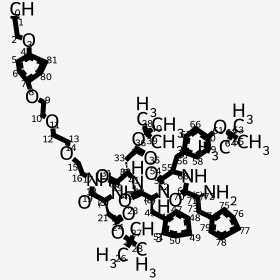 C#CCOc1ccc(OCCOCCOCCNC(=O)[C@H](CC(=O)OC(C)(C)C)NC(=O)[C@H](CC(=O)OC(C)(C)C)NC(=O)[C@H](Cc2ccccc2)NC(=O)C(Cc2ccc(OC(C)(C)C)cc2)NC(=O)[C@@H](N)Cc2ccccc2)cc1